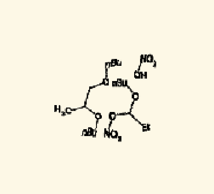 CCCCOC(CC)O[N+](=O)[O-].CCCCOCC(C)OCCCC.O=[N+]([O-])O